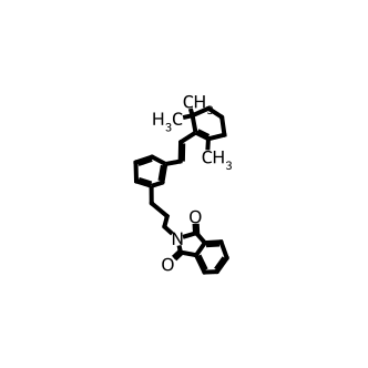 CC1=C(/C=C/c2cccc(CCCN3C(=O)c4ccccc4C3=O)c2)C(C)(C)CCC1